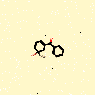 COC1(Br)C=CC=C(C(=O)c2ccccc2)C1